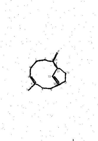 C=C1CCC/C=C(/C)CCC2=C[C@H]1CC2